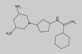 C=C(NC1CCC(N2CC(N)CC(N)C2)C1)C1CCCCC1